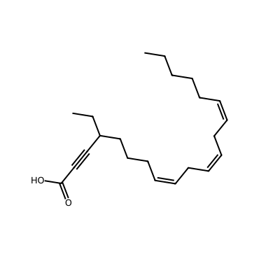 CCCCC/C=C\C/C=C\C/C=C\CCCC(C#CC(=O)O)CC